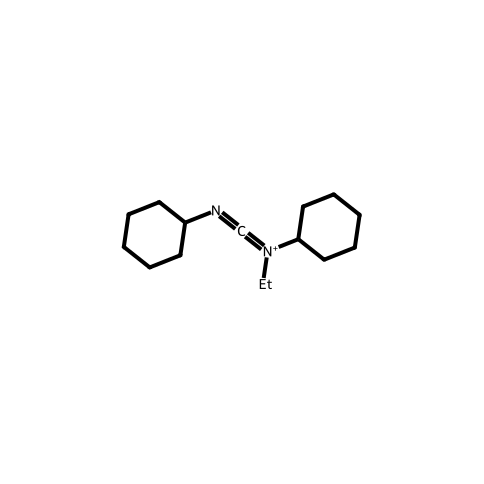 CC[N+](=C=NC1CCCCC1)C1CCCCC1